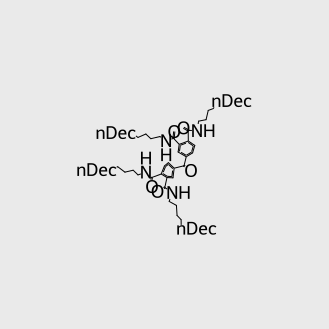 CCCCCCCCCCCCCCNC(=O)c1ccc(C(=O)c2ccc(C(=O)NCCCCCCCCCCCCCC)c(C(=O)NCCCCCCCCCCCCCC)c2)cc1C(=O)NCCCCCCCCCCCCCC